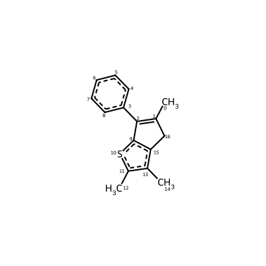 CC1=C(c2ccccc2)c2sc(C)c(C)c2C1